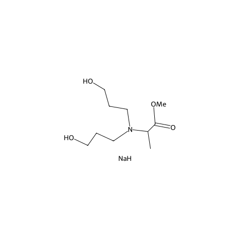 COC(=O)C(C)N(CCCO)CCCO.[NaH]